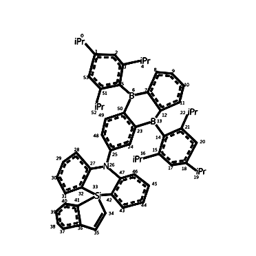 CC(C)c1cc(C(C)C)c(B2c3ccccc3B(c3c(C(C)C)cc(C(C)C)cc3C(C)C)c3cc(N4c5ccccc5[Si]5(C=Cc6ccccc65)c5ccccc54)ccc32)c(C(C)C)c1